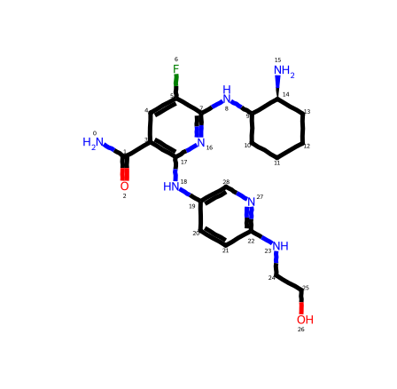 NC(=O)c1cc(F)c(NC2CCCC[C@@H]2N)nc1Nc1ccc(NCCO)nc1